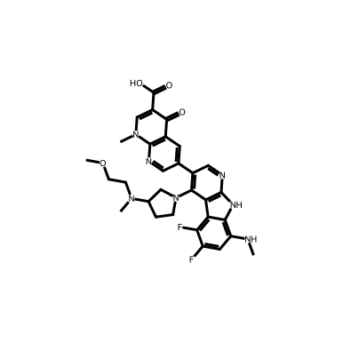 CNc1cc(F)c(F)c2c1[nH]c1ncc(-c3cnc4c(c3)c(=O)c(C(=O)O)cn4C)c(N3CCC(N(C)CCOC)C3)c12